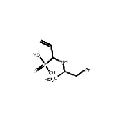 C=CC(N[C@@H](CC(C)C)C(=O)O)P(=O)(O)O